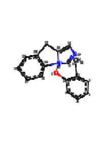 Cc1ccccc1O[N+]12C=NC=C1Cc1ccccc12